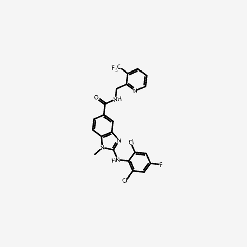 Cn1c(Nc2c(Cl)cc(F)cc2Cl)nc2cc(C(=O)NCc3ncccc3C(F)(F)F)ccc21